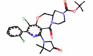 CC(C)(C)OC(=O)N1CCN2C(=O)c3c(N4CC(=O)CC4(C)C)nc(-c4ccccc4F)c(Cl)c3OCC2C1